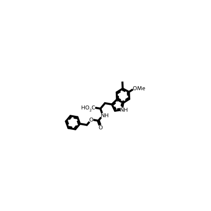 COc1cc2[nH]cc(CC(NC(=O)OCc3ccccc3)C(=O)O)c2cc1C